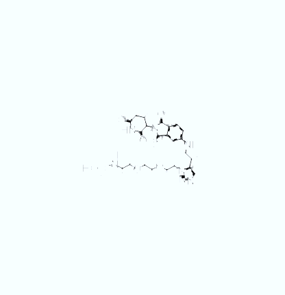 O=C(O)NCCOCCOCCn1nncc1CCNc1ccc2c(c1)C(=O)N(C1CCC(=O)NC1=O)C2=O